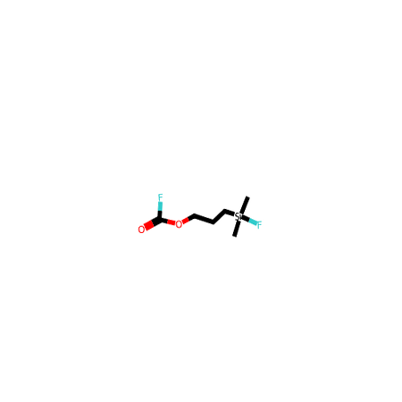 C[Si](C)(F)CCCOC(=O)F